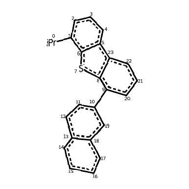 CC(C)c1cccc2c1sc1c(-c3ccc4ccccc4c3)cccc12